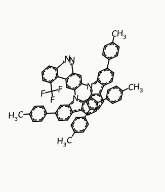 Cc1ccc(-c2ccc3c4ccc(-c5ccc(C)cc5)cc4n(-c4cc(C#N)c(-c5c(C#N)cccc5C(F)(F)F)cc4-n4c5cc(-c6ccc(C)cc6)ccc5c5ccc(-c6ccc(C)cc6)cc54)c3c2)cc1